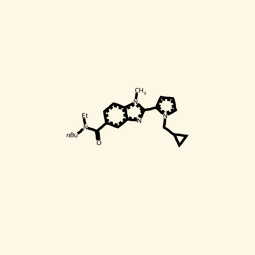 CCCCN(CC)C(=O)c1ccc2c(c1)nc(-c1cccn1CC1CC1)n2C